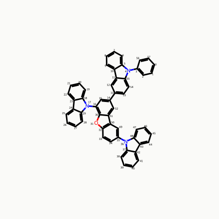 c1ccc(-n2c3ccccc3c3cc(-c4cc(-n5c6ccccc6c6ccccc65)c5oc6ccc(-n7c8ccccc8c8ccccc87)cc6c5c4)ccc32)cc1